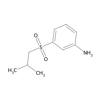 CC(C)CS(=O)(=O)c1cccc(N)c1